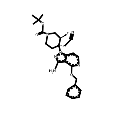 CC(C)(C)OC(=O)N1CC[C@](CC#N)(n2nc(N)c3c(OCc4ccccc4)nccc32)[C@H](F)C1